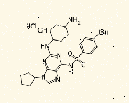 CC(C)(C)c1ccc(S(=O)(=O)Nc2nc(NC3CCC(N)CC3)nc3c2ncn3C2CCCC2)cc1.Cl.Cl